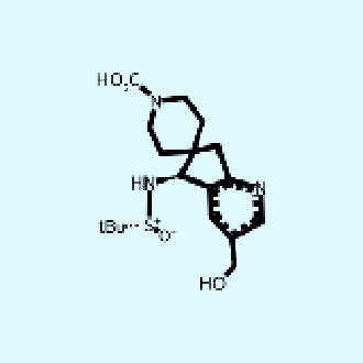 CC(C)(C)[S@@+]([O-])N[C@@H]1c2cc(CO)cnc2CC12CCN(C(=O)O)CC2